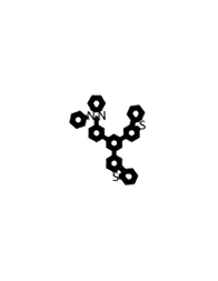 c1ccc(-n2c(-c3cccc(-c4cc(-c5ccc6sc7ccccc7c6c5)cc(-c5ccc6sc7ccccc7c6c5)c4)c3)nc3ccccc32)cc1